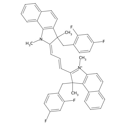 CN1/C(=C/C=C/C2=[N+](C)c3ccc4ccccc4c3C2(C)Cc2ccc(F)cc2F)C(C)(Cc2ccc(F)cc2F)c2ccc3ccccc3c21